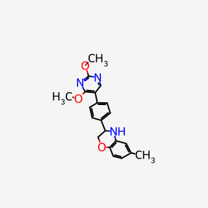 COc1ncc(-c2ccc(C3COc4ccc(C)cc4N3)cc2)c(OC)n1